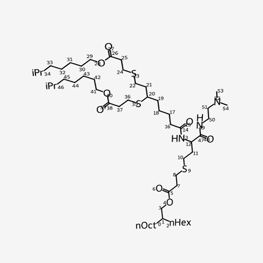 CCCCCCCCC(CCCCCC)COC(=O)CCSCCC(NC(=O)CCCCC(CCSCCC(=O)OCCCCCC(C)C)SCCC(=O)OCCCCCC(C)C)C(=O)NCCN(C)C